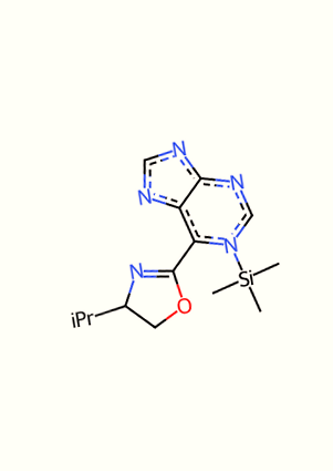 CC(C)C1COC(c2c3ncnc-3ncn2[Si](C)(C)C)=N1